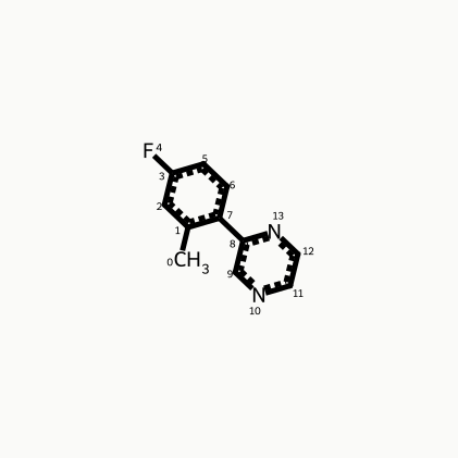 Cc1cc(F)ccc1-c1cnccn1